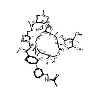 CC[C@H]1OC(=O)[C@H](C)[C@@H](O[C@H]2C[C@@](C)(OC)[C@@H](O)[C@H](C)O2)[C@H](C)[C@@H](O[C@@H]2O[C@H](C)C[C@H](N(C)CCc3cn([C@H](CF)[C@H](OC)c4ccc(-c5cccc(CNC(C)=O)c5)cc4)nn3)[C@H]2O)[C@](C)(O)C[C@@H](C)CN(C)[C@H](C)[C@@H](O)[C@]1(C)O